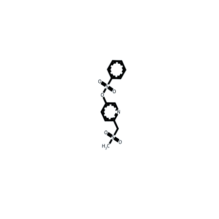 CS(=O)(=O)Cc1ccc(OS(=O)(=O)c2ccccc2)cn1